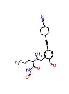 CCCC(C(=O)NC=O)N(C)Cc1cc(C#CC2CCB(C#N)CC2)ccc1C=O